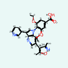 CCOc1cc(C(=O)O)cc(OCC)c1-n1cc(-c2cccnc2)c2ncc(-c3c(C)noc3C)cc21